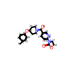 Cc1ccc(OC2CCN(C(=O)c3ccc(N4CCOC4=O)nc3)CC2)cc1